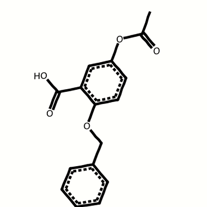 CC(=O)Oc1ccc(OCc2ccccc2)c(C(=O)O)c1